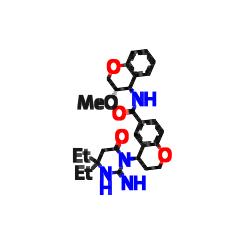 CCC1(CC)CC(=O)N([C@@H]2CCOc3ccc(C(=O)N[C@@H]4c5ccccc5OC[C@H]4OC)cc32)C(=N)N1